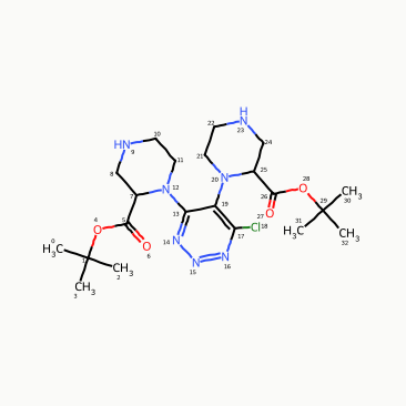 CC(C)(C)OC(=O)C1CNCCN1c1nnnc(Cl)c1N1CCNCC1C(=O)OC(C)(C)C